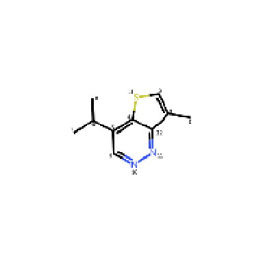 Cc1csc2c(C(C)C)cnnc12